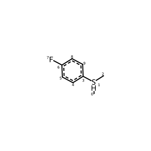 C[SH](C)c1ccc(F)cc1